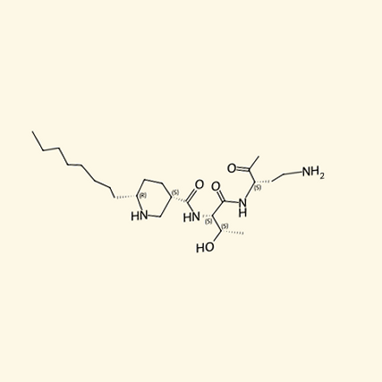 CCCCCCCC[C@@H]1CC[C@H](C(=O)N[C@H](C(=O)N[C@@H](CCN)C(C)=O)[C@H](C)O)CN1